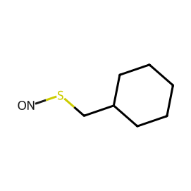 O=NSCC1CCCCC1